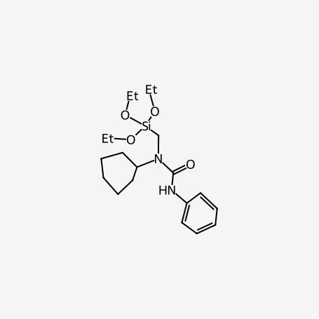 CCO[Si](CN(C(=O)Nc1ccccc1)C1CCCCC1)(OCC)OCC